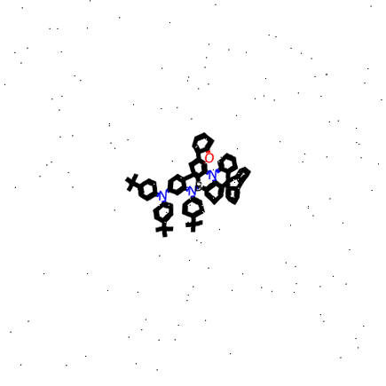 CC(C)(C)c1ccc(N2B3c4cccc5c4N(c4ccccc4C54c5ccccc5-c5ccccc54)c4c3c(cc3c4oc4ccccc43)-c3ccc(N(c4ccc(C(C)(C)C)cc4)c4ccc(C(C)(C)C)cc4)cc32)cc1